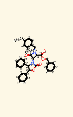 COc1ccc(CN2C(=O)C(N3C(=O)OC(c4ccccc4)C3c3ccccc3)C2C(=O)OCc2ccccc2)c(OC)c1